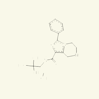 CC(C)(C)[C@@H](CO)NC(=O)c1nc(-c2ccccc2)n2c1CNCC2